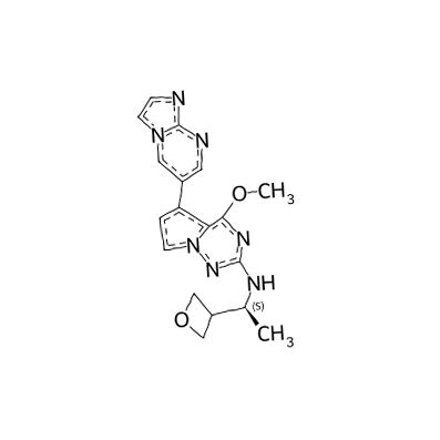 COc1nc(N[C@@H](C)C2COC2)nn2ccc(-c3cnc4nccn4c3)c12